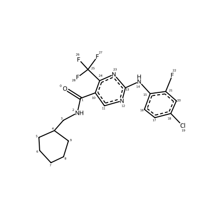 O=C(NCC1CCCCC1)c1cnc(Nc2ccc(Cl)cc2F)nc1C(F)(F)F